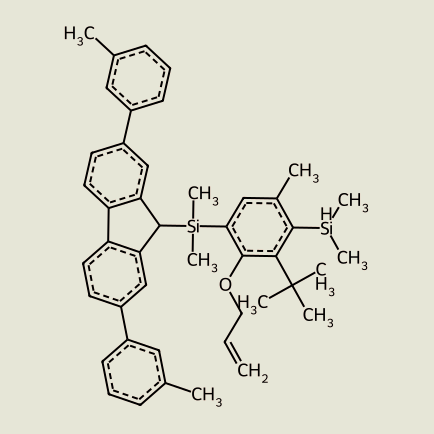 C=CCOc1c([Si](C)(C)C2c3cc(-c4cccc(C)c4)ccc3-c3ccc(-c4cccc(C)c4)cc32)cc(C)c([SiH](C)C)c1C(C)(C)C